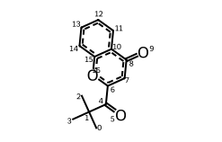 CC(C)(C)C(=O)c1cc(=O)c2ccccc2o1